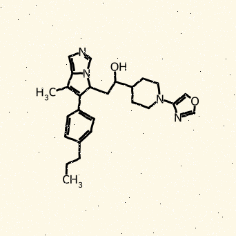 CCCc1ccc(C2=C(C)c3cncn3C2CC(O)C2CCN(c3cocn3)CC2)cc1